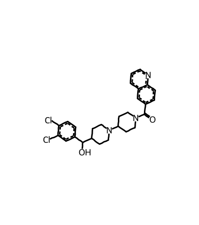 O=C(c1ccc2ncccc2c1)N1CCC(N2CCC(C(O)c3ccc(Cl)c(Cl)c3)CC2)CC1